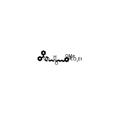 CCOC(=O)Oc1ccc(C=CC=CC(=O)NCCCN2CCN(C(c3ccccc3)c3ccccc3)CC2)cc1OC